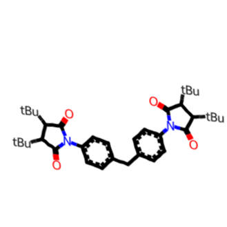 CC(C)(C)C1C(=O)N(c2ccc(Cc3ccc(N4C(=O)C(C(C)(C)C)C(C(C)(C)C)C4=O)cc3)cc2)C(=O)C1C(C)(C)C